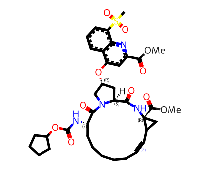 COC(=O)c1cc(O[C@@H]2C[C@H]3C(=O)N[C@]4(C(=O)OC)CC4/C=C\CCCCC[C@H](NC(=O)OC4CCCC4)C(=O)N3C2)c2cccc(S(C)(=O)=O)c2n1